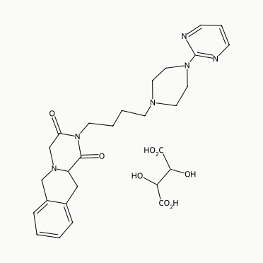 O=C(O)C(O)C(O)C(=O)O.O=C1CN2Cc3ccccc3CC2C(=O)N1CCCCN1CCN(c2ncccn2)CC1